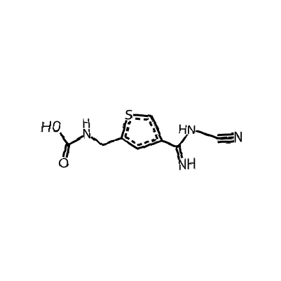 N#CNC(=N)c1csc(CNC(=O)O)c1